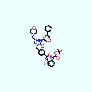 CC(C)(C)OC(=O)Nc1ccccc1NC(=O)c1ccc(CN(CCCN2CCOCC2)C(=O)NC2=COC=C(C3=CC=CCC3)O2)cc1